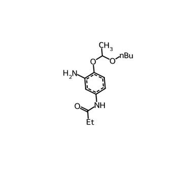 CCCCOC(C)Oc1ccc(NC(=O)CC)cc1N